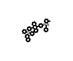 Cc1cccc2c1nc(-c1ccccc1)n2-c1ccc(C2=C3C=CC=CC3C(c3cccc([Si](c4ccccc4)(c4ccccc4)c4ccc5ccccc5c4)c3)c3ccccc32)cc1